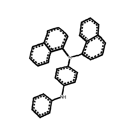 c1ccc(Nc2ccc(N(c3cccc4ccccc34)c3cccc4ccccc34)cc2)cc1